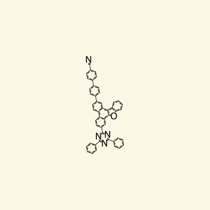 N#Cc1ccc(-c2ccc(-c3ccc4c5ccc(-c6nc(-c7ccccc7)nc(-c7ccccc7)n6)cc5c5oc6ccccc6c5c4c3)cc2)cc1